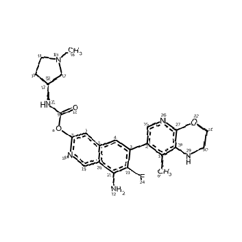 Cc1c(-c2cc3cc(OC(=O)N[C@H]4CCN(C)C4)ncc3c(N)c2F)cnc2c1NCCO2